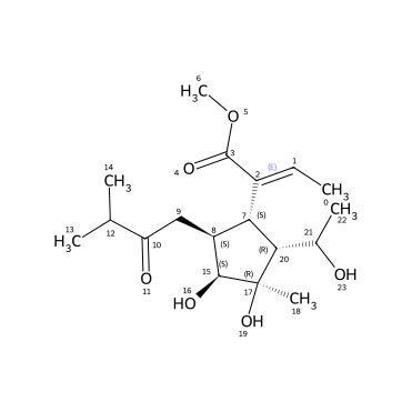 C/C=C(/C(=O)OC)[C@H]1[C@H](CC(=O)C(C)C)[C@H](O)[C@](C)(O)[C@H]1C(C)O